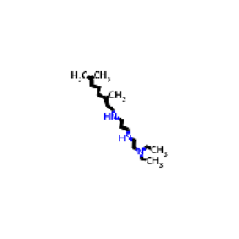 CCN(CC)CCNCCCNC/C=C(\C)CCC=C(C)C